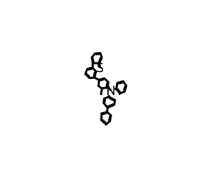 CC1CC(c2cccc3c2sc2ccccc23)=CC=C1N(c1ccccc1)c1ccc(-c2ccccc2)cc1